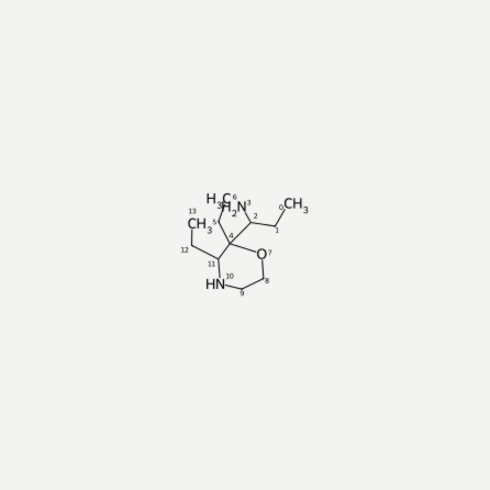 CCC(N)C1(CC)OCCNC1CC